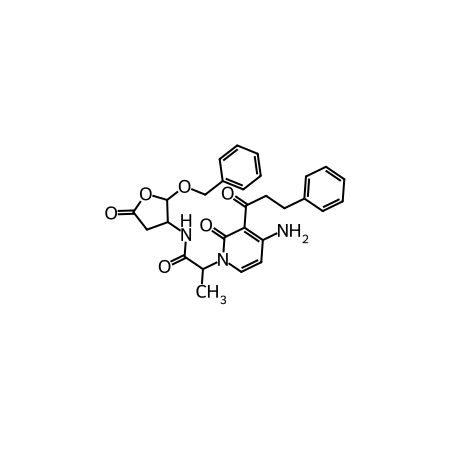 CC(C(=O)NC1CC(=O)OC1OCc1ccccc1)n1ccc(N)c(C(=O)CCc2ccccc2)c1=O